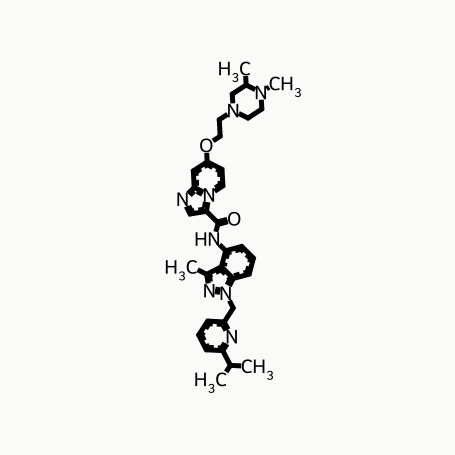 Cc1nn(Cc2cccc(C(C)C)n2)c2cccc(NC(=O)c3cnc4cc(OCCN5CCN(C)C(C)C5)ccn34)c12